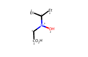 CCC(CC)N(O)CC(=O)O